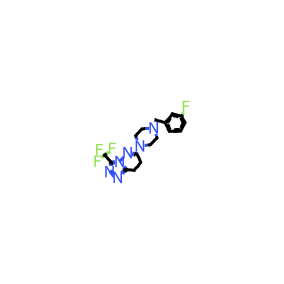 Fc1cccc(CN2CCN(C3=Nn4c(nnc4C(F)(F)F)CC3)CC2)c1